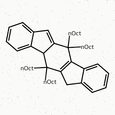 CCCCCCCCC1(CCCCCCCC)C2=Cc3ccccc3C2C(CCCCCCCC)(CCCCCCCC)C2=C1c1ccccc1C2